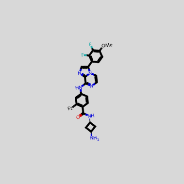 CCc1cc(Nc2nccn3c(-c4ccc(OC)c(F)c4F)cnc23)ccc1C(=O)N[C@H]1C[C@H](N)C1